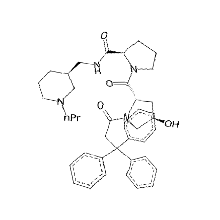 CCCN1CCC[C@@H](CNC(=O)[C@H]2CCCN2C(=O)[C@@H]2C[C@@H](O)CN2C(=O)CC(c2ccccc2)(c2ccccc2)c2ccccc2)C1